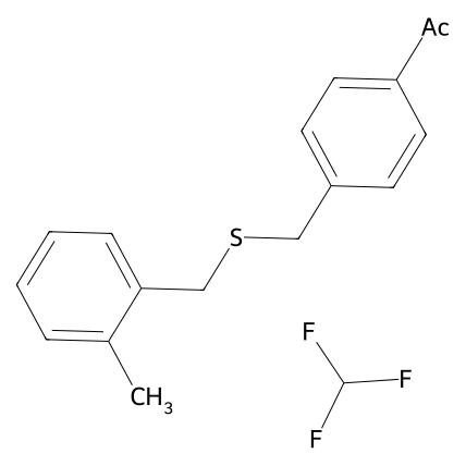 CC(=O)c1ccc(CSCc2ccccc2C)cc1.FC(F)F